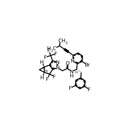 CC(C)C#Cc1ccc(Br)c([C@H](Cc2cc(F)cc(F)c2)NC(=O)Cn2nc(C(F)(F)F)c3c2C(F)(F)[C@@H]2C[C@H]32)n1